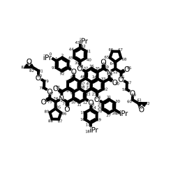 CC(C)c1ccc(Oc2cc3c4c(cc(Oc5ccc(C(C)C)cc5)c5c6c(Oc7ccc(C(C)C)cc7)cc7c8c(cc(Oc9ccc(C(C)C)cc9)c(c2c45)c86)C(=O)N(C(C(=O)OCCOCC2CO2)C2CCCC2)C7=O)C(=O)N(C(C(=O)OCCOCC2CO2)C2CCCC2)C3=O)cc1